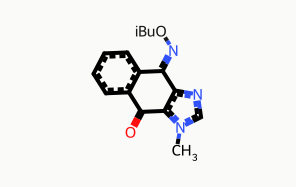 CC(C)CO/N=C1\c2ccccc2C(=O)c2c1ncn2C